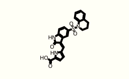 O=C1Nc2ccc(S(=O)(=O)N3CCCc4ccccc43)cc2/C1=C/c1ccc(C(=O)O)[nH]1